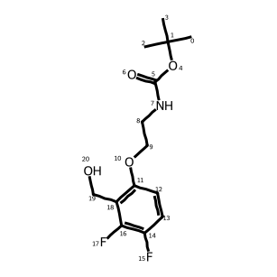 CC(C)(C)OC(=O)NCCOc1ccc(F)c(F)c1CO